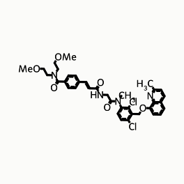 COCCN(CCOC)C(=O)c1ccc(C=CC(=O)NCC(=O)N(C)c2ccc(Cl)c(COc3cccc4ccc(C)nc34)c2Cl)cc1